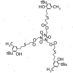 Cc1cc(CCCSCCC(=O)OCCn2c(=O)n(CCOC(=O)CCSCCCc3cc(C)cc(C(C)(C)C)c3O)c(=O)n(CCOC(=O)CCSCCCc3cc(C)cc(C(C)(C)C)c3O)c2=O)c(O)c(C(C)(C)C)c1